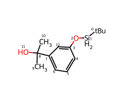 CC(C)(C)[SiH2]Oc1[c]ccc(C(C)(C)O)c1